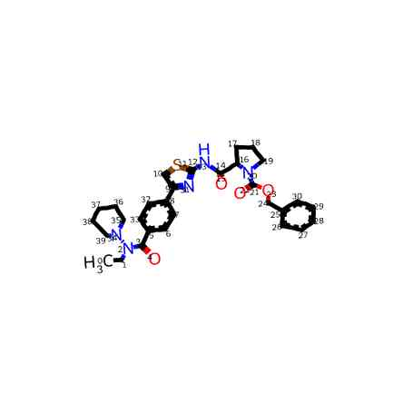 CCN(C(=O)c1ccc(-c2csc(NC(=O)C3CCCN3C(=O)OCc3ccccc3)n2)cc1)N1CCCCC1